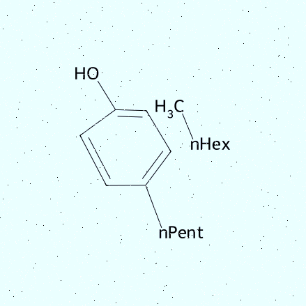 CCCCCCC.CCCCCc1ccc(O)cc1